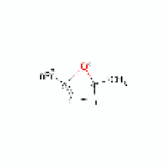 CCCC1=CCC(C)O1